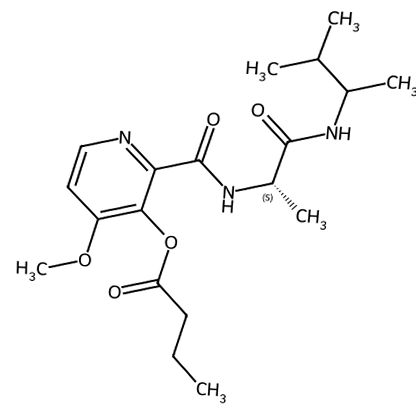 CCCC(=O)Oc1c(OC)ccnc1C(=O)N[C@@H](C)C(=O)NC(C)C(C)C